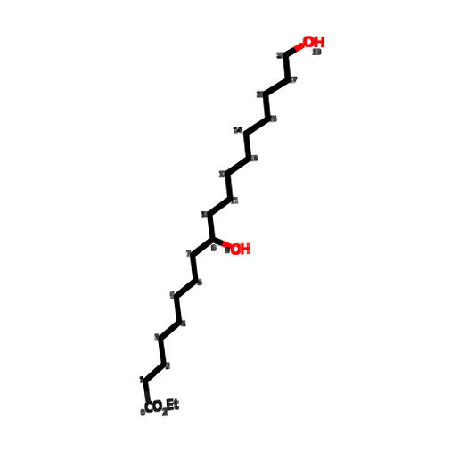 CCOC(=O)CCCCCCCC(O)CCCCCCCCCO